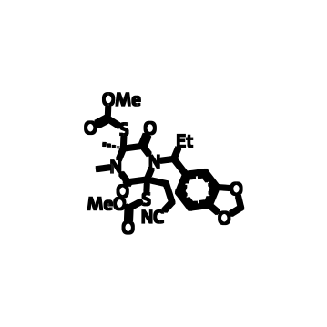 CCC(c1ccc2c(c1)OCO2)N1C(=O)[C@](C)(SC(=O)OC)N(C)C(=O)C1(CCC#N)SC(=O)OC